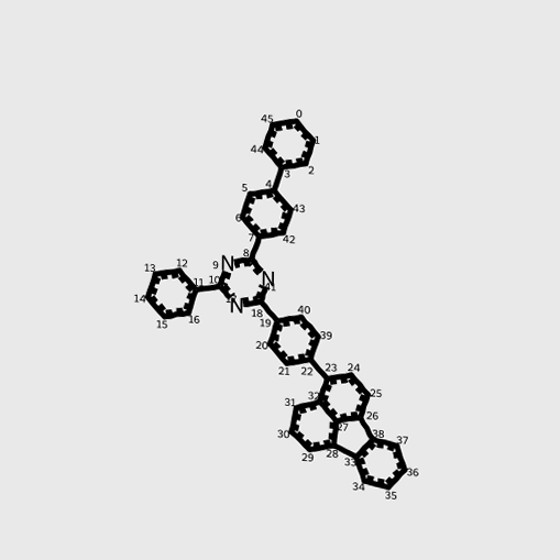 c1ccc(-c2ccc(-c3nc(-c4ccccc4)nc(-c4ccc(-c5ccc6c7c(cccc57)-c5ccccc5-6)cc4)n3)cc2)cc1